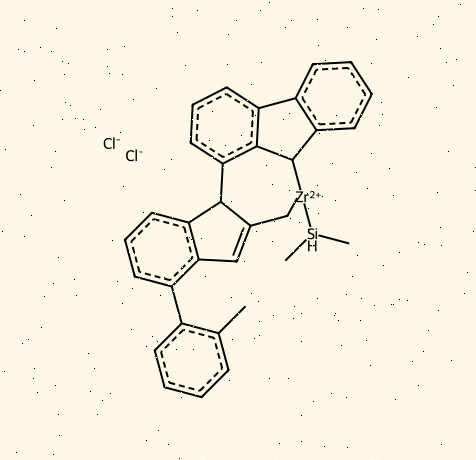 CCC1=Cc2c(-c3ccccc3C)cccc2C1c1cccc2c1[CH]([Zr+2][SiH](C)C)c1ccccc1-2.[Cl-].[Cl-]